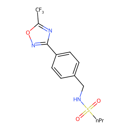 CCCS(=O)(=O)NCc1ccc(-c2noc(C(F)(F)F)n2)cc1